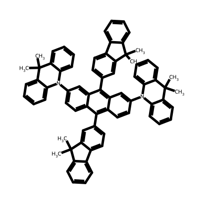 CC1(C)c2ccccc2-c2ccc(-c3c4ccc(N5c6ccccc6C(C)(C)c6ccccc65)cc4c(-c4ccc5c(c4)C(C)(C)c4ccccc4-5)c4cc(N5c6ccccc6C(C)(C)c6ccccc65)ccc34)cc21